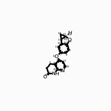 O=C1CCc2c(Oc3ccc4c(c3)C3C[C@H]3O4)ccnc2N1